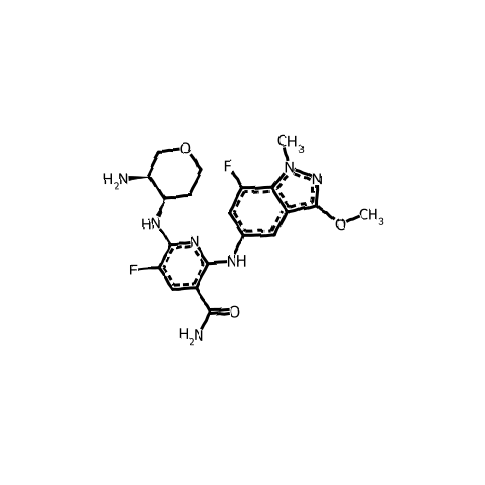 COc1nn(C)c2c(F)cc(Nc3nc(N[C@@H]4CCOC[C@@H]4N)c(F)cc3C(N)=O)cc12